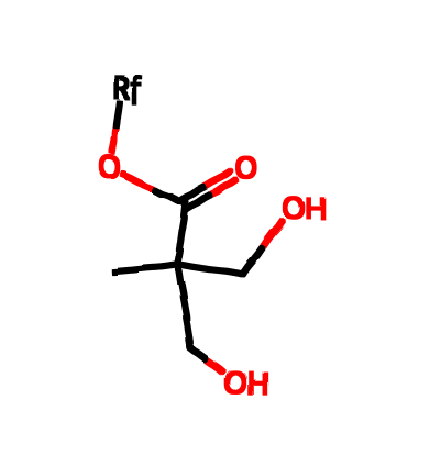 CC(CO)(CO)C(=O)[O][Rf]